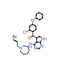 CC(=O)/C=C/CN1CCCCC(Nc2ncnc3[nH]cc(C(=O)c4ccc(Oc5ccccc5)cc4Cl)c23)C1